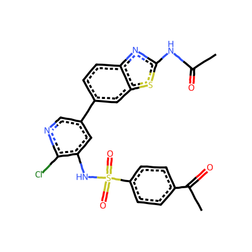 CC(=O)Nc1nc2ccc(-c3cnc(Cl)c(NS(=O)(=O)c4ccc(C(C)=O)cc4)c3)cc2s1